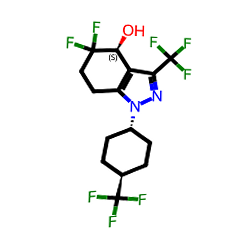 O[C@H]1c2c(C(F)(F)F)nn([C@H]3CC[C@H](C(F)(F)F)CC3)c2CCC1(F)F